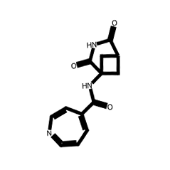 O=C(NC12CC(C1)C(=O)NC2=O)C1=CC=C=NC=C1